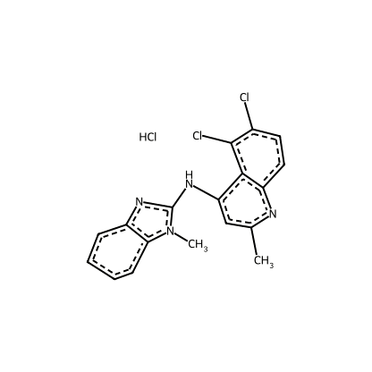 Cc1cc(Nc2nc3ccccc3n2C)c2c(Cl)c(Cl)ccc2n1.Cl